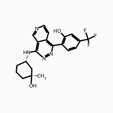 C[C@]1(O)CCC[C@H](Nc2nnc(-c3ccc(C(F)(F)F)cc3O)c3ccncc23)C1